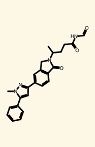 CC(CCC(=O)NC=O)N1Cc2cc(-c3cc(-c4ccccc4)n(C)n3)ccc2C1=O